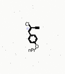 C#C/C(Cl)=C\c1ccc(OCCC)cc1